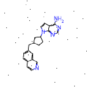 Nc1ncnc2c1ccn2C1CCC(Cc2ccc3ccncc3c2)C1